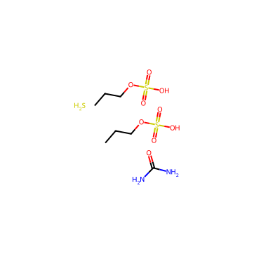 CCCOS(=O)(=O)O.CCCOS(=O)(=O)O.NC(N)=O.S